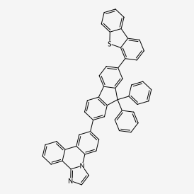 c1ccc(C2(c3ccccc3)c3cc(-c4ccc5c(c4)c4ccccc4c4nccn54)ccc3-c3ccc(-c4cccc5c4sc4ccccc45)cc32)cc1